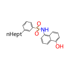 CCCCCCCc1cccc(S(=O)(=O)Nc2cccc3c(O)cccc23)c1